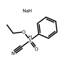 CCO[SH](=O)(C#N)c1ccccc1.[NaH]